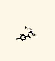 C=C(S/C(N)=N\N)c1ccc(CC)nc1